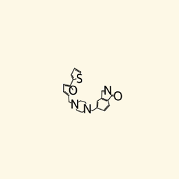 O=C1N=Cc2cc(CN3CCN(Cc4ccc(-c5cccs5)o4)CC3)ccc21